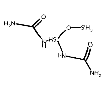 NC(=O)N[SiH](NC(N)=O)O[SiH3]